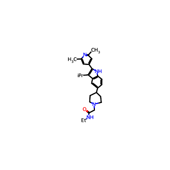 CCNC(=O)CN1CCC(c2ccc3[nH]c(-c4cc(C)nc(C)c4)c(C(C)C)c3c2)CC1